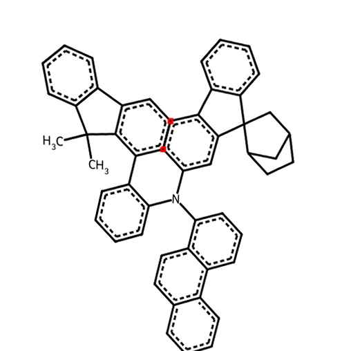 CC1(C)c2ccccc2-c2cccc(-c3ccccc3N(c3ccc4c(c3)C3(CC5CCC3C5)c3ccccc3-4)c3cccc4c3ccc3ccccc34)c21